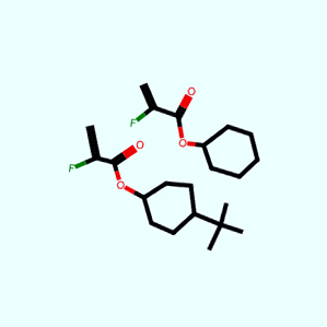 C=C(F)C(=O)OC1CCC(C(C)(C)C)CC1.C=C(F)C(=O)OC1CCCCC1